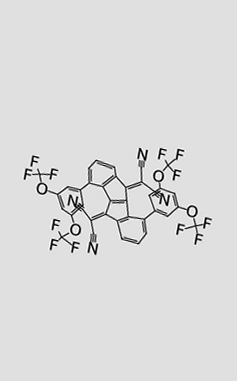 N#CC(C#N)=C1C2=C(C(=C(C#N)C#N)c3cccc(-c4cc(OC(F)(F)F)cc(OC(F)(F)F)c4)c32)c2c1cccc2-c1cc(OC(F)(F)F)cc(OC(F)(F)F)c1